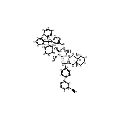 C#Cc1cccc(-c2ccc(C(=O)N3C[C@H]4CCCC[C@@H]4C[C@H]3CN[C@@H](Cc3cn(C(c4ccccc4)(c4ccccc4)c4ccccc4)cn3)C(=O)N(C)OC)cc2)c1